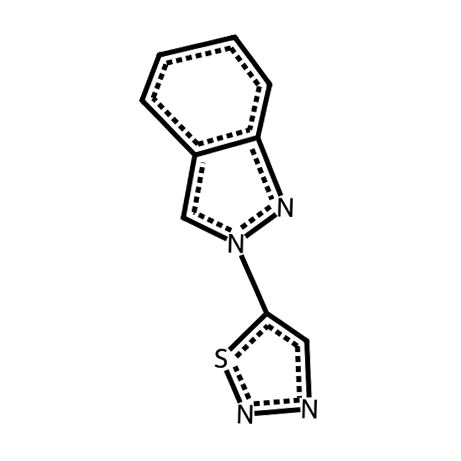 c1ccc2nn(-c3cnns3)cc2c1